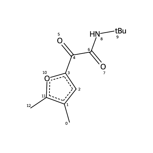 Cc1cc(C(=O)C(=O)NC(C)(C)C)oc1C